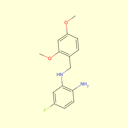 COc1ccc(CNc2cc(F)ccc2N)c(OC)c1